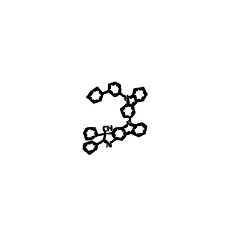 CC1(c2ccccc2)C(c2ccccc2)=Nc2cc3c4ccccc4n(-c4ccc5c(c4)c4ccccc4n5-c4cccc(-c5ccccc5)c4)c3cc21